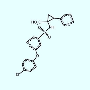 O=C(O)C1(NS(=O)(=O)c2cccc(Oc3ccc(Cl)cc3)c2)CC1c1ccccc1